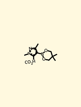 Cc1nn(C)c(C(=O)O)c1B1OCC(C)(C)CO1